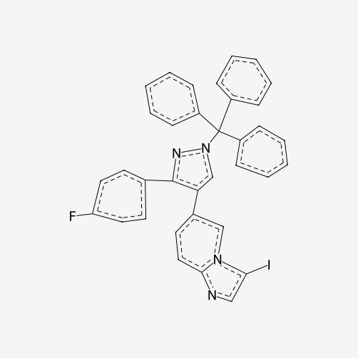 Fc1ccc(-c2nn(C(c3ccccc3)(c3ccccc3)c3ccccc3)cc2-c2ccc3ncc(I)n3c2)cc1